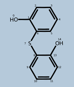 Oc1ccccc1Sc1ccccc1O